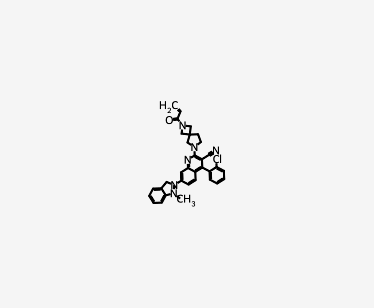 C=CC(=O)N1CC2(CCN(c3nc4cc(N5Cc6ccccc6N5C)ccc4c(-c4ccccc4Cl)c3C#N)C2)C1